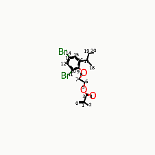 C=C(C)C(=O)OCCOc1c(Br)cc(Br)cc1C(C)CC